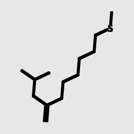 C=C(CCCCCCSC)CC(C)C